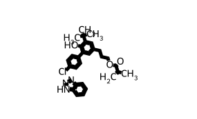 C=C(C)C(=O)OCCCc1cc(-c2ccc(Cl)cc2)c(O)c(C(C)(C)C)c1.c1ccc2[nH]nnc2c1